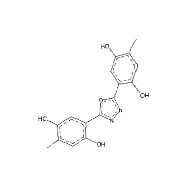 Cc1cc(O)c(-c2nnc(-c3cc(O)c(C)cc3O)o2)cc1O